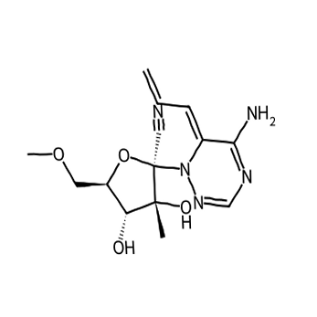 C=C/C=C1/C(N)=NC=NN1[C@]1(C#N)O[C@H](COC)[C@@H](O)[C@@]1(C)O